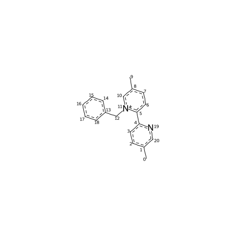 Cc1ccc(-c2ccc(C)c[n+]2Cc2ccccc2)nc1